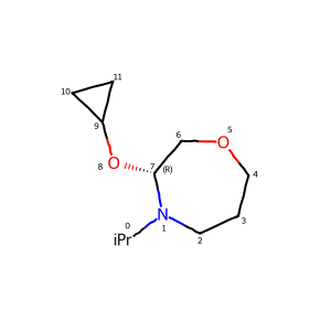 CC(C)N1CCCOC[C@H]1OC1CC1